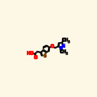 Cc1cc(COc2ccc3c(CC(=O)O)csc3c2)n(C)n1